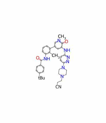 Cc1c(NC(=O)c2ccc(C(C)(C)C)cc2)cccc1-c1cc(Nc2ccc(N3CCN(CCC#N)CC3)nn2)c(=O)n(C)c1